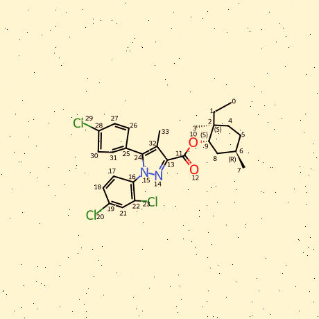 CC[C@@]1(C)CC[C@@H](C)C[C@@H]1OC(=O)c1nn(-c2ccc(Cl)cc2Cl)c(-c2ccc(Cl)cc2)c1C